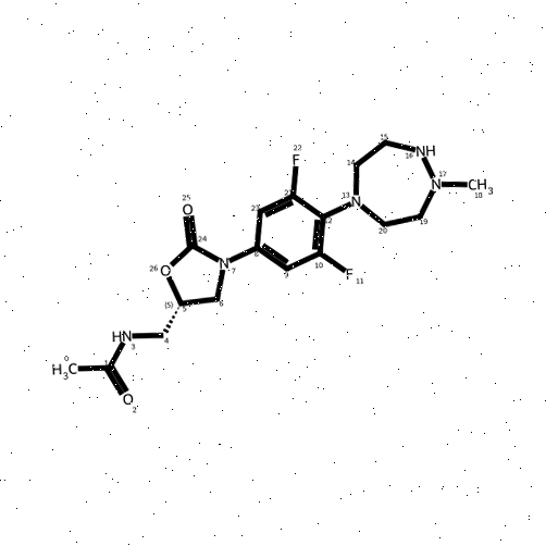 CC(=O)NC[C@H]1CN(c2cc(F)c(N3CCNN(C)CC3)c(F)c2)C(=O)O1